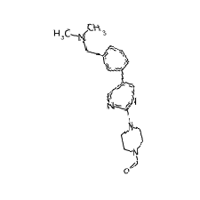 CN(C)Cc1cccc(-c2cnc(N3CCN(C=O)CC3)nc2)c1